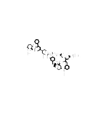 CC(C)(C)OC(=O)COc1c(C(=O)OC(C)(C)C)sc(-c2cccc(N[C@H]3CCN(S(=O)(=O)Cc4cccc(NC(=O)N5CCC(c6cnc7c(c6)c6ccccc6n7C6CCC(=O)NC6=O)CC5)c4)C(C)(C)C3)c2)c1Cl